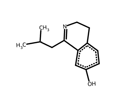 C[C](C)CC1=NCCc2ccc(O)cc21